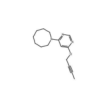 CC#CCOc1cc(N2CCCCCCC2)ncn1